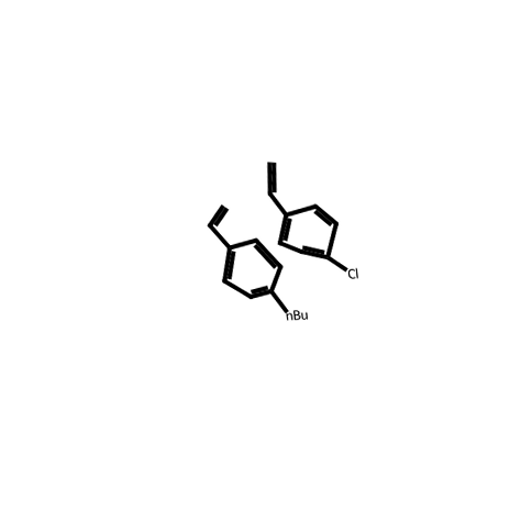 C=Cc1ccc(CCCC)cc1.C=Cc1ccc(Cl)cc1